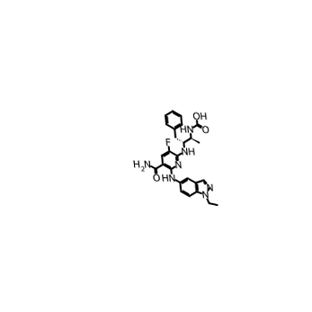 CCn1ncc2cc(Nc3nc(N[C@H](Cc4ccccc4)[C@H](C)NC(=O)O)c(F)cc3C(N)=O)ccc21